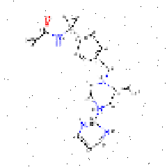 CC(=O)NC1(c2ccc(CN3CCN(c4ncccn4)CC3C)cc2)CC1